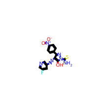 NC(=S)n1nc(-c2ccc([N+](=O)[O-])cc2)c(/N=N/c2cncc(F)c2)c1O